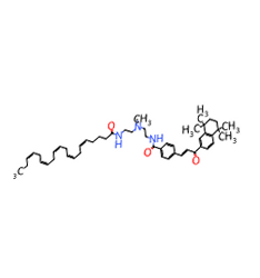 CC/C=C\C/C=C\C/C=C\C/C=C\C/C=C\CCCC(=O)NCCN(C)CCNC(=O)c1ccc(/C=C/C(=O)c2ccc3c(c2)C(C)(C)CCC3(C)C)cc1